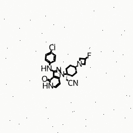 N#CC[C@]1(n2nc(Nc3ccc(Cl)cc3)c3c(=O)[nH]ccc32)CC[C@@H](N2CC(F)C2)CC1